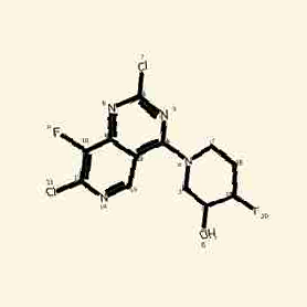 OC1CN(c2nc(Cl)nc3c(F)c(Cl)ncc23)CCC1F